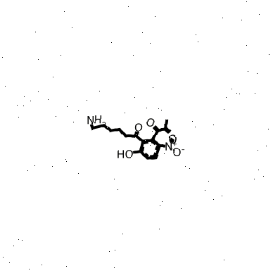 C=C(C)C(=O)c1c([N+](=O)[O-])ccc(O)c1C(=O)CCCCCN